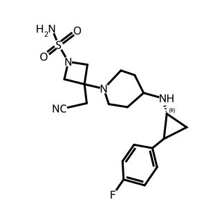 N#CCC1(N2CCC(N[C@@H]3CC3c3ccc(F)cc3)CC2)CN(S(N)(=O)=O)C1